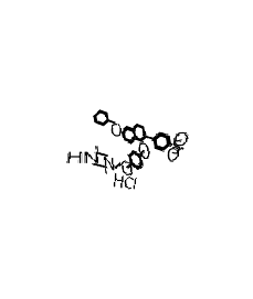 C[C@H]1CN(CCOc2ccc(Oc3c(-c4ccc(S(C)(=O)=O)cc4)ccc4cc(OCc5ccccc5)ccc34)cc2)[C@@H](C)CN1.Cl